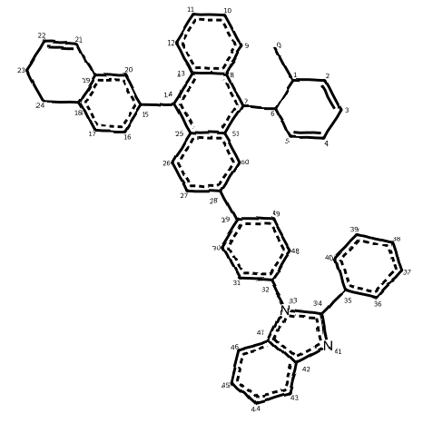 CC1C=CC=CC1c1c2ccccc2c(-c2ccc3c(c2)C=CCC3)c2ccc(-c3ccc(-n4c(-c5ccccc5)nc5ccccc54)cc3)cc12